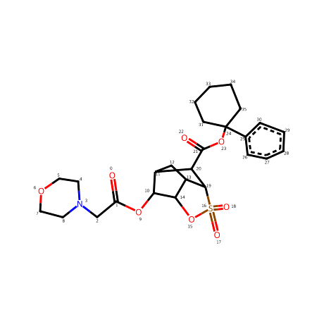 O=C(CN1CCOCC1)OC1C2CC3C1OS(=O)(=O)C3C2C(=O)OC1(c2ccccc2)CCCCC1